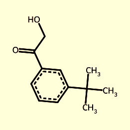 CC(C)(C)c1cccc(C(=O)CO)c1